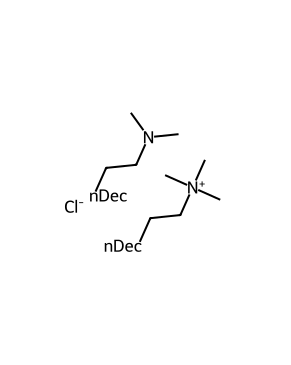 CCCCCCCCCCCCN(C)C.CCCCCCCCCCCC[N+](C)(C)C.[Cl-]